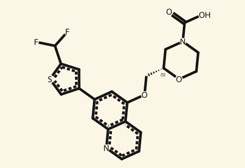 O=C(O)N1CCO[C@H](COc2cc(-c3csc(C(F)F)c3)cc3ncccc23)C1